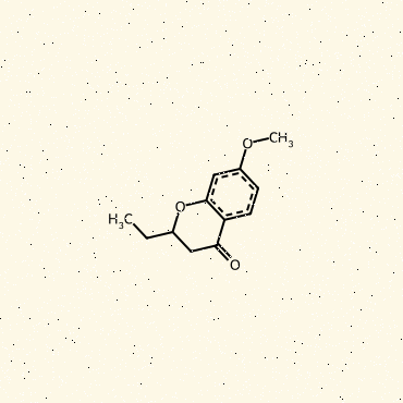 CCC1CC(=O)c2ccc(OC)cc2O1